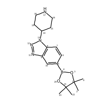 CC1(C)OB(c2ccc3c(c2)nnn3C2CCNCC2)OC1(C)C